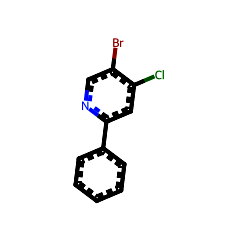 Clc1cc(-c2ccccc2)ncc1Br